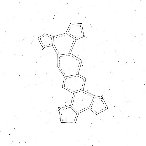 c1cc2c3ccsc3c3cc4cc5c(cc4cc3c2s1)c1sccc1c1ccsc15